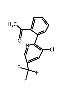 CC(=O)c1ccccc1-c1ncc(C(F)(F)F)cc1Cl